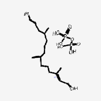 C/C(=C\CO)CCCC(C)CCCC(C)CCCC(C)C.O=P(O)(O)OP(=O)(O)O